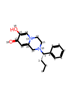 CCC[C@@H](c1ccccc1)N1CCn2cc(O)c(=O)cc2C1